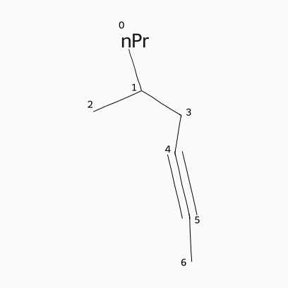 [CH2]CCC(C)CC#CC